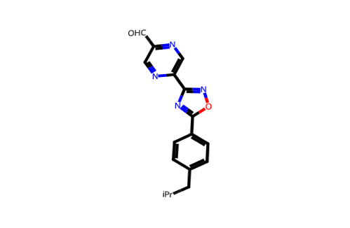 CC(C)Cc1ccc(-c2nc(-c3cnc(C=O)cn3)no2)cc1